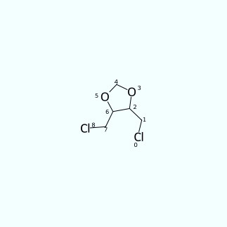 ClCC1OCOC1CCl